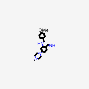 COc1ccc(CNc2cc(N3CCN(C)CC3)ccc2C=N)cc1